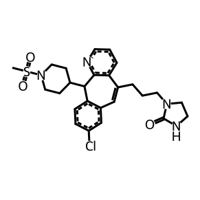 CS(=O)(=O)N1CCC(C2c3ccc(Cl)cc3C=C(CCCN3CCNC3=O)c3cccnc32)CC1